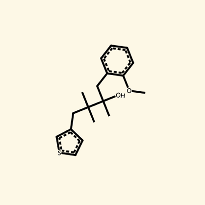 COc1ccccc1CC(C)(O)C(C)(C)Cc1ccsc1